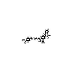 CNC(=O)c1c(-c2ccc(F)cc2)oc2cc(N(CCCCOCCc3ccc(C(=O)O)cc3)SC)c(C3CC3)cc12